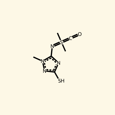 Cn1nc(S)nc1N=S(C)(C)=C=O